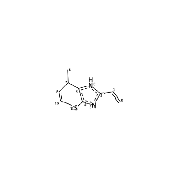 C=Cc1nc2c([nH]1)C(C)C=CS2